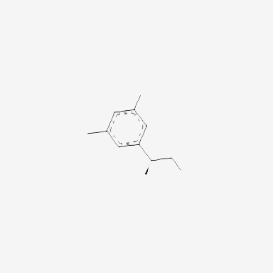 C[C@H](CO)c1cc(Cl)cc(Cl)c1